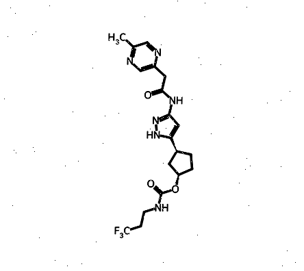 Cc1cnc(CC(=O)Nc2cc([C@H]3CC[C@@H](OC(=O)NCCC(F)(F)F)C3)[nH]n2)cn1